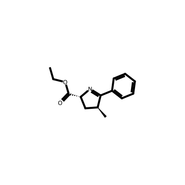 CCOC(=O)[C@H]1C[C@H](C)C(c2ccccc2)=N1